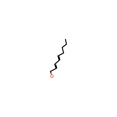 CCCCC=CC=CC[O]